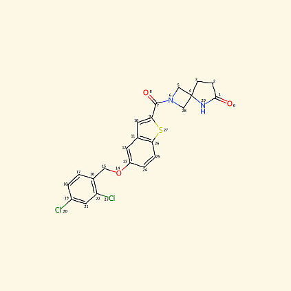 O=C1CCC2(CN(C(=O)c3cc4cc(OCc5ccc(Cl)cc5Cl)ccc4s3)C2)N1